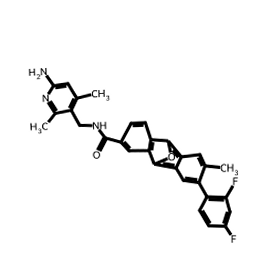 Cc1cc2c(cc1-c1ccc(F)cc1F)c1oc2c2ccc(C(=O)NCc3c(C)cc(N)nc3C)cc21